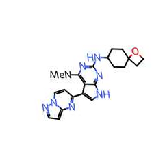 CNc1nc(NC2CCC3(CCO3)CC2)nc2[nH]cc(-c3ccn4nccc4n3)c12